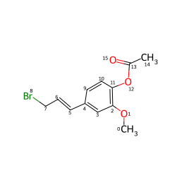 COc1cc(C=CCBr)ccc1OC(C)=O